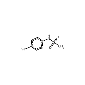 [CH2]CCc1ccc(NS(C)(=O)=O)nc1